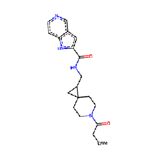 COCC(=O)N1CCC2(CC1)CC2CNC(=O)c1cc2cnccc2[nH]1